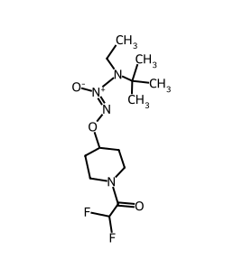 CCN(/[N+]([O-])=N/OC1CCN(C(=O)C(F)F)CC1)C(C)(C)C